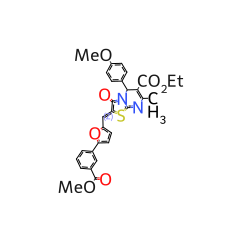 CCOC(=O)C1=C(C)N=c2s/c(=C\c3ccc(-c4cccc(C(=O)OC)c4)o3)c(=O)n2C1c1ccc(OC)cc1